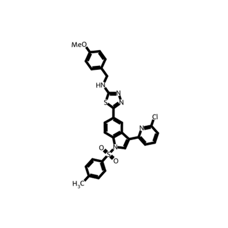 COc1ccc(CNc2nnc(-c3ccc4c(c3)c(-c3cccc(Cl)n3)cn4S(=O)(=O)c3ccc(C)cc3)s2)cc1